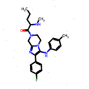 CCCC(NC)C(=O)N1CCn2c(nc(-c3ccc(F)cc3)c2Nc2ccc(C)cc2)C1